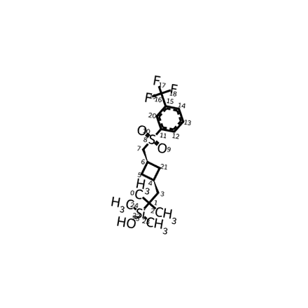 CC(C)(C[C@H]1C[C@@H](CS(=O)(=O)c2cccc(C(F)(F)F)c2)C1)[Si](C)(C)O